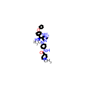 CN1CCC(C(=O)NC2CCC(N(C)c3ncnc(N)c3C(=N)c3ccc(Oc4ccccc4)cc3)CC2)CC1